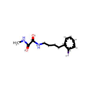 CNC(=O)C(=O)NCCCCc1ccccc1I